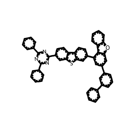 c1ccc(-c2cccc(-c3cc(-c4ccc5c(c4)sc4cc(-c6nc(-c7ccccc7)nc(-c7ccccc7)n6)ccc45)c4c(c3)oc3ccccc34)c2)cc1